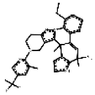 CCc1cccc2c1-n1nc3c(c1C1(C)C2=CC(C)(P)c2[nH]ccc21)CN(c1ncc(C(F)(F)F)cc1F)CC3